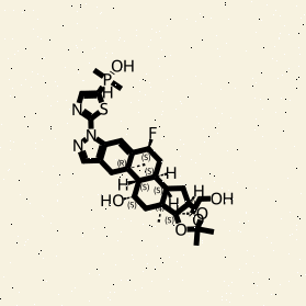 CC1(C)O[C@@H]2C[C@H]3[C@@H]4C[C@H](F)C5=Cc6c(cnn6-c6ncc([PH](C)(C)O)s6)C[C@]5(C)[C@H]4[C@@H](O)C[C@]3(C)[C@]2(C(=O)CO)O1